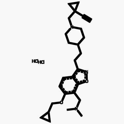 C#CC1(CN2CCC(CCc3noc4c(CN(C)C)c(OCC5CC5)ccc34)CC2)CC1.Cl.Cl